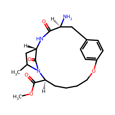 COC(=O)[C@@H]1CCCCOc2ccc(cc2)C[C@H](N)C(=O)N[C@H]2CC(C)N1C2=O